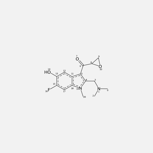 CN(C)Cc1c(C(=O)C2CO2)c2cc(O)c(F)cc2n1C